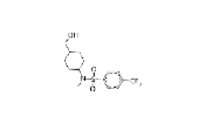 CN(C1CCC(CO)CC1)S(=O)(=O)c1ccc(C(F)(F)F)cc1